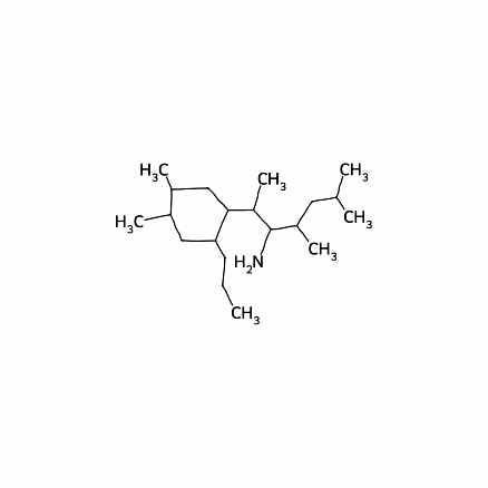 CCCC1CC(C)C(C)CC1C(C)C(N)C(C)CC(C)C